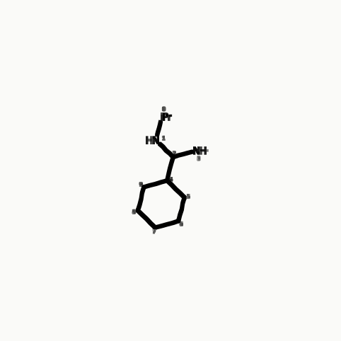 CC(C)NC([NH])C1CCCCC1